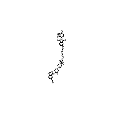 N#Cc1ccc2ncnc(NC3CCC(N4CCN(S(=O)(=O)CCOCCOCCOc5ccc6c(c5)C(=O)N(C5CCC(=O)NC5=O)C6=O)CC4)CC3)c2c1